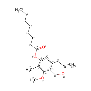 CCCCCCCC(=O)Oc1cc2c(c(OC)c1C)COC(C)C2